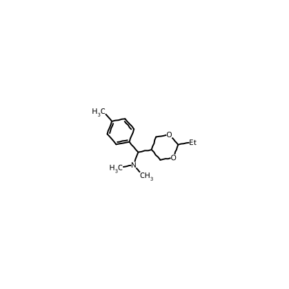 CCC1OCC(C(c2ccc(C)cc2)N(C)C)CO1